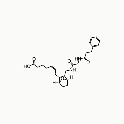 O=C(O)CCC/C=C\C[C@H]1[C@@H](CNC(=O)CNC(=O)CCc2ccccc2)[C@H]2CC[C@@H]1O2